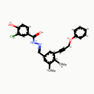 COc1cc(/C=N/NC(=O)c2ccc(O)c(Cl)c2)cc(C#CCOc2ccccc2)c1OC